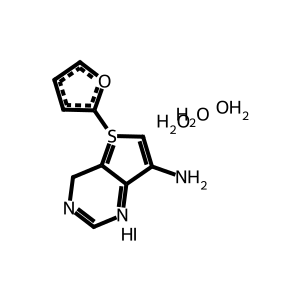 I.NC1=CS(c2ccco2)=C2CN=CN=C12.O.O.O